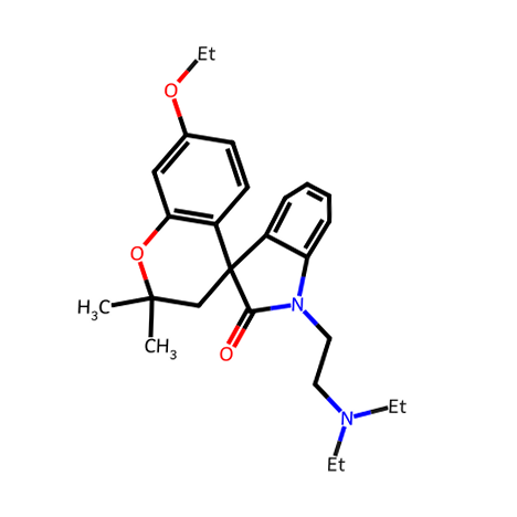 CCOc1ccc2c(c1)OC(C)(C)CC21C(=O)N(CCN(CC)CC)c2ccccc21